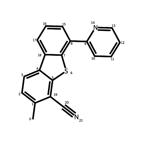 Cc1ccc2c(sc3c(-c4ccccn4)cccc32)c1C#N